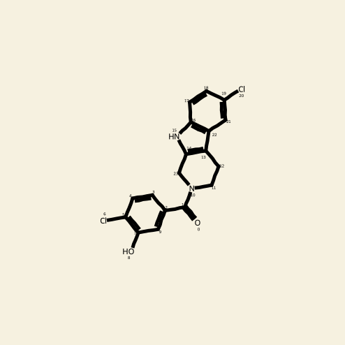 O=C(c1ccc(Cl)c(O)c1)N1CCc2c([nH]c3ccc(Cl)cc23)C1